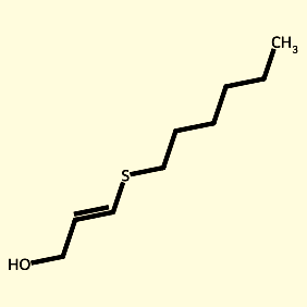 CCCCCCSC=CCO